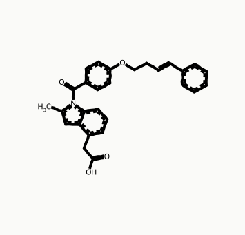 Cc1cc2c(CC(=O)O)cccc2n1C(=O)c1ccc(OCCC=Cc2ccccc2)cc1